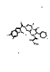 CN[C@@H](C)C(=O)NC(C(=O)N1[C@H](C)CN(C(=O)c2cc3cc(F)c(F)cc3n2C)C[C@@H]1C)C1CCCCC1